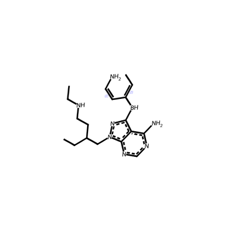 C/C=C(Bc1nn(CC(CC)CCNCC)c2ncnc(N)c12)\C=C/N